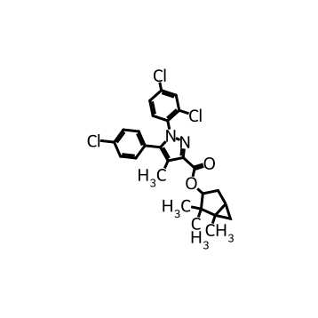 Cc1c(C(=O)OC2CC3CC3(C)C2(C)C)nn(-c2ccc(Cl)cc2Cl)c1-c1ccc(Cl)cc1